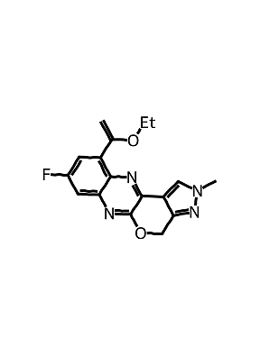 C=C(OCC)c1cc(F)cc2nc3c(nc12)-c1cn(C)nc1CO3